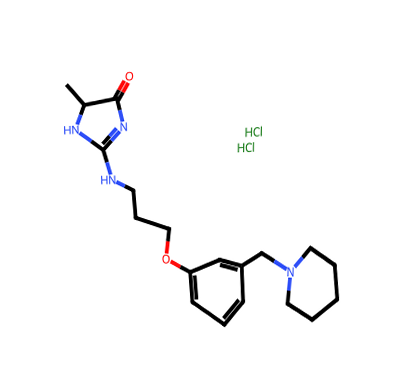 CC1NC(NCCCOc2cccc(CN3CCCCC3)c2)=NC1=O.Cl.Cl